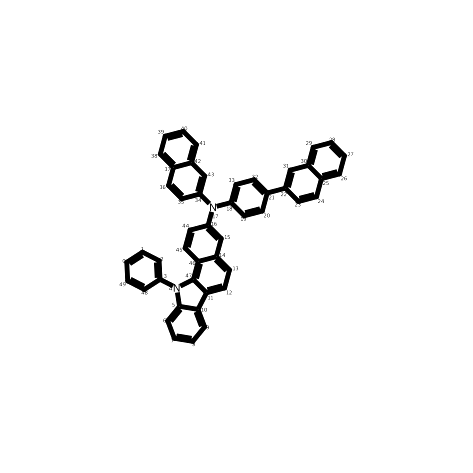 c1ccc(-n2c3ccccc3c3ccc4cc(N(c5ccc(-c6ccc7ccccc7c6)cc5)c5ccc6ccccc6c5)ccc4c32)cc1